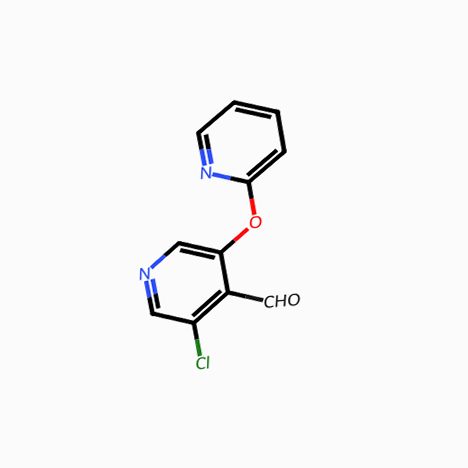 O=Cc1c(Cl)cncc1Oc1ccccn1